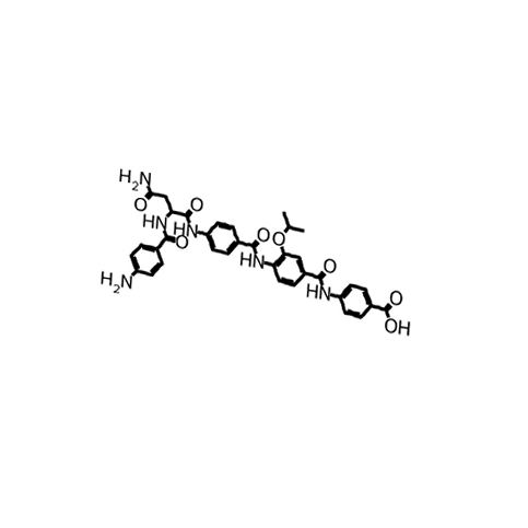 CC(C)Oc1cc(C(=O)Nc2ccc(C(=O)O)cc2)ccc1NC(=O)c1ccc(NC(=O)C(CC(N)=O)NC(=O)c2ccc(N)cc2)cc1